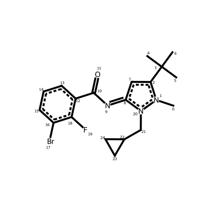 Cn1c(C(C)(C)C)c/c(=N\C(=O)c2cccc(Br)c2F)n1CC1CC1